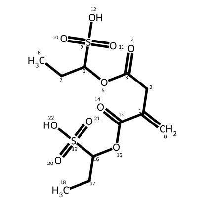 C=C(CC(=O)OC(CC)S(=O)(=O)O)C(=O)OC(CC)S(=O)(=O)O